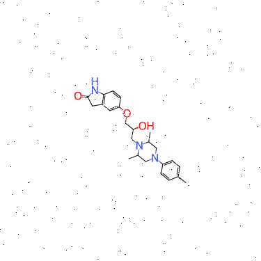 Cc1ccc(N2CC(C)N(C[C@H](O)COc3ccc4c(c3)CC(=O)N4)C(C)C2)cc1